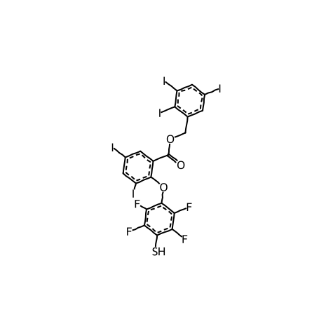 O=C(OCc1cc(I)cc(I)c1I)c1cc(I)cc(I)c1Oc1c(F)c(F)c(S)c(F)c1F